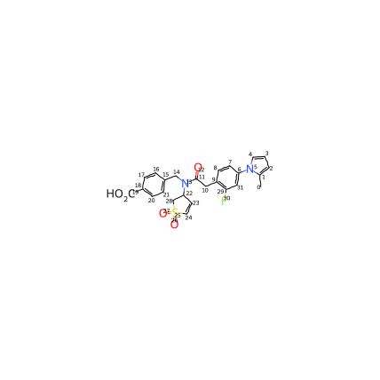 Cc1cccn1-c1ccc(CC(=O)N(Cc2ccc(C(=O)O)cc2)C2C=CS(=O)(=O)C2)c(F)c1